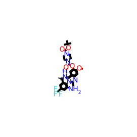 COc1cc2nc(C)nc(N[C@H](C)c3cc(N)cc(C(F)(F)F)c3)c2cc1OC(=O)N1CCN(C(=O)OC(C)(C)C)CC1